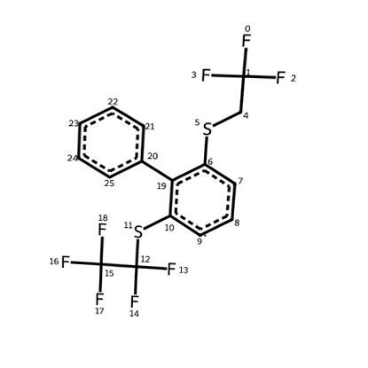 FC(F)(F)CSc1cc[c]c(SC(F)(F)C(F)(F)F)c1-c1ccccc1